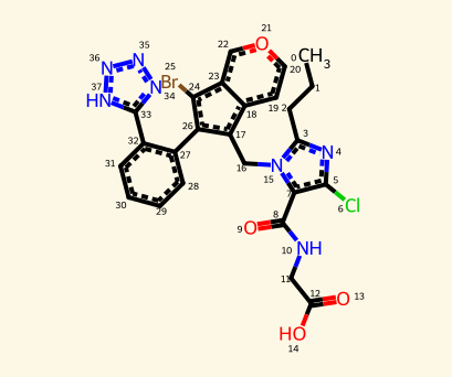 CCCc1nc(Cl)c(C(=O)NCC(=O)O)n1Cc1c2ccocc-2c(Br)c1-c1ccccc1-c1nnn[nH]1